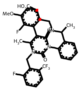 COc1cccc(-c2c(C)n(Cc3c(F)cccc3C(F)(F)F)c(=O)n(-c3ccccc3C(C)NCCCC(=O)O)c2=O)c1F